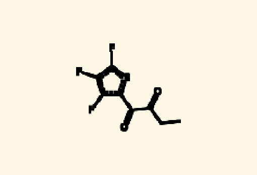 CCC(=O)C(=O)c1sc(F)c(F)c1F